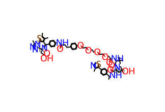 Cc1ncsc1-c1ccc(C(C)NC(=O)[C@@H]2C[C@@H](O)CN2C(=O)C(NC(=O)COCCOCCOCCOc2ccc(CCC(=O)Nc3ccc(C4=N[C@@H](CC(=O)O)c5nnc(C)n5-c5sc(C)c(C)c54)cc3)cc2)C(C)(C)C)cc1